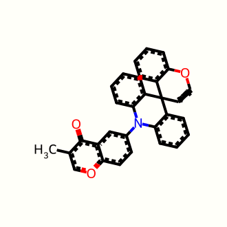 Cc1coc2ccc(N3c4ccccc4C4(c5ccccc5Oc5ccccc54)c4ccccc43)cc2c1=O